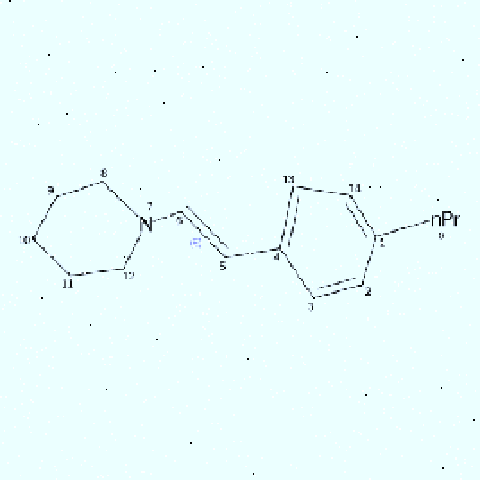 CCCc1ccc(/C=C/N2CCCCC2)cc1